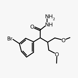 COCC(COC)C(C(=O)NN)c1cccc(Br)c1